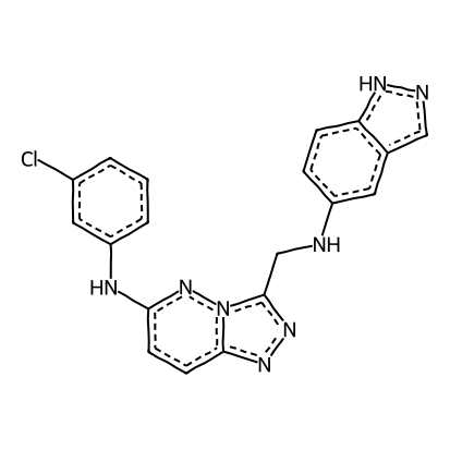 Clc1cccc(Nc2ccc3nnc(CNc4ccc5[nH]ncc5c4)n3n2)c1